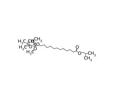 CO[Si](OC)(OCCCCCCCCCCCC(=O)OCC(C)C)O[Si](C)(C)C